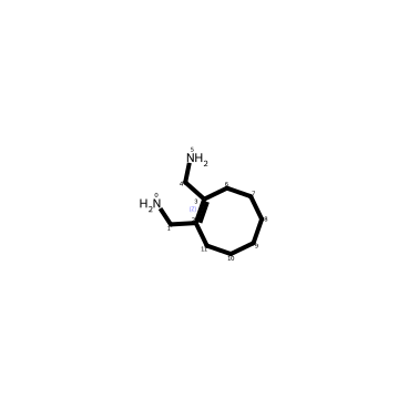 NC/C1=C(\CN)CCCCCC1